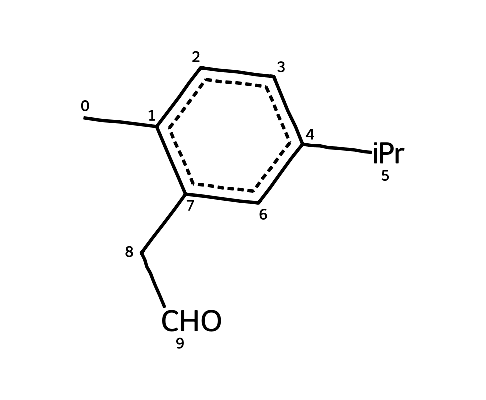 Cc1ccc(C(C)C)cc1CC=O